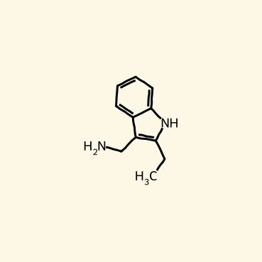 CCc1[nH]c2ccccc2c1CN